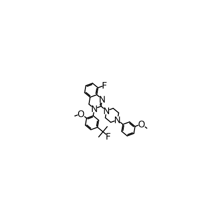 COc1cccc(N2CCN(C3=Nc4c(F)cccc4CN3c3cc(C(C)(C)F)ccc3OC)CC2)c1